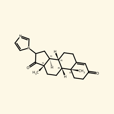 C[C@]12CCC(=O)C=C1CC[C@@H]1[C@H]2CC[C@]2(C)C(=O)C(n3ccnc3)C[C@@H]12